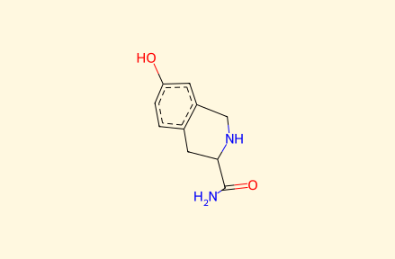 NC(=O)C1Cc2ccc(O)cc2CN1